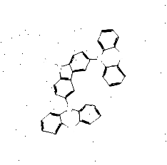 CC(=O)n1c2ccc(N3c4ccccc4Sc4ccccc43)cc2c2cc(N3c4ccccc4Sc4ccccc43)ccc21